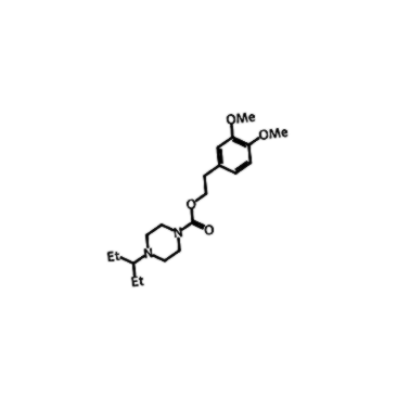 CCC(CC)N1CCN(C(=O)OCCc2ccc(OC)c(OC)c2)CC1